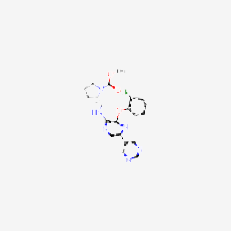 CC(C)(C)OC(=O)N1CCC[C@H]1CNc1ncc(-c2cncnc2)nc1Oc1ccccc1Cl